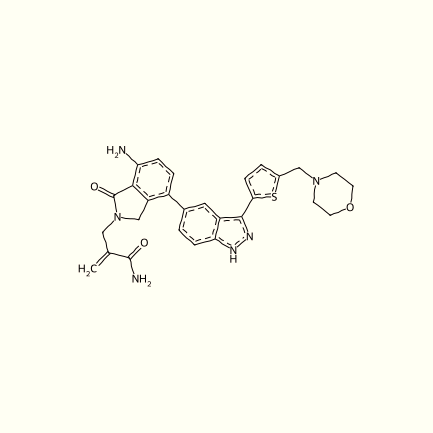 C=C(CN1Cc2c(-c3ccc4[nH]nc(-c5ccc(CN6CCOCC6)s5)c4c3)ccc(N)c2C1=O)C(N)=O